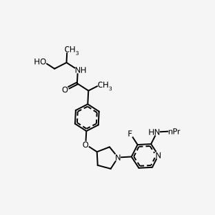 CCCNc1nccc(N2CCC(Oc3ccc(C(C)C(=O)NC(C)CO)cc3)C2)c1F